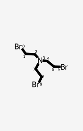 BrCCN(CCBr)CCBr